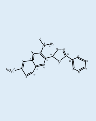 CC(C)N(C)c1nc2cc(C(=O)O)ccc2nc1C1CC=C(c2ccccc2)O1